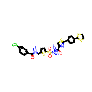 O=C(NCc1ccc(S(=O)(=O)NNC(=O)c2csc(-c3ccc(C4SCCS4)cc3)n2)s1)c1ccc(Cl)cc1